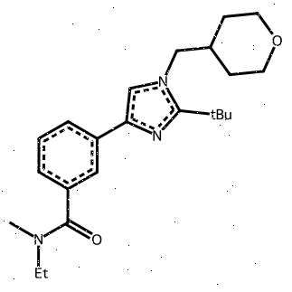 CCN(C)C(=O)c1cccc(-c2cn(CC3CCOCC3)c(C(C)(C)C)n2)c1